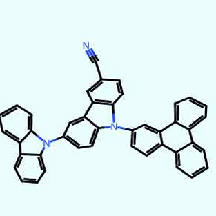 N#Cc1ccc2c(c1)c1cc(-n3c4ccccc4c4ccccc43)ccc1n2-c1ccc2c3ccccc3c3ccccc3c2c1